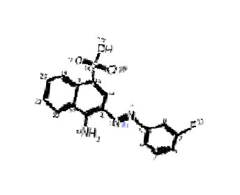 Nc1c(/N=N/c2cccc(F)c2)cc(S(=O)(=O)O)c2ccccc12